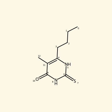 CCCCc1[nH]c(=S)[nH]c(=O)c1C